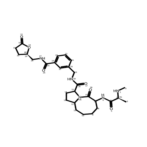 CN[C@@H](C)C(=O)NC1CCCCC2CCC(C(=O)NCc3cccc(C(=O)NC[C@H]4CCC(=O)O4)c3)N2C1=O